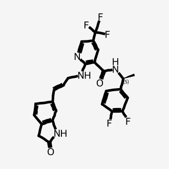 C[C@H](NC(=O)c1cc(C(F)(F)F)cnc1NCC=Cc1ccc2c(c1)NC(=O)C2)c1ccc(F)c(F)c1